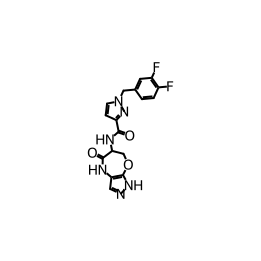 O=C(NC1COc2[nH]ncc2NC1=O)c1ccn(Cc2ccc(F)c(F)c2)n1